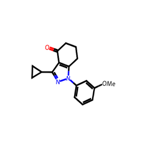 COc1cccc(-n2nc(C3CC3)c3c2CCCC3=O)c1